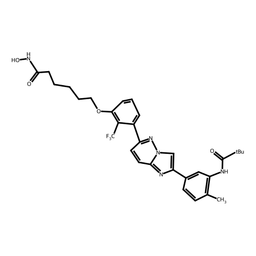 Cc1ccc(-c2cn3nc(-c4cccc(OCCCCCC(=O)NO)c4C(F)(F)F)ccc3n2)cc1NC(=O)C(C)(C)C